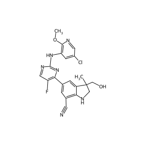 COc1ncc(Cl)cc1Nc1ncc(F)c(-c2cc(C#N)c3c(c2)C(C)(CO)CN3)n1